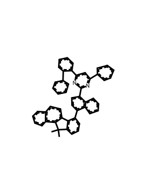 CC1(C)c2cccc(-c3ccc(-c4nc(-c5ccccc5)cc(-c5ccccc5-c5ccccc5)n4)c4ccccc34)c2-c2ccc3ccccc3c21